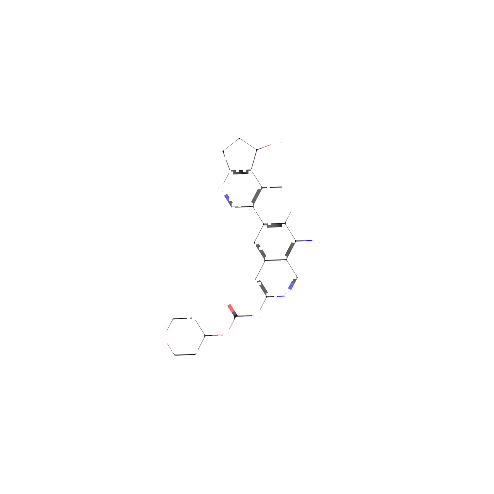 Cc1c(-c2cc3cc(NC(=O)OC4CCOCC4)ncc3c(N)c2F)cnc2c1C(O)CC2